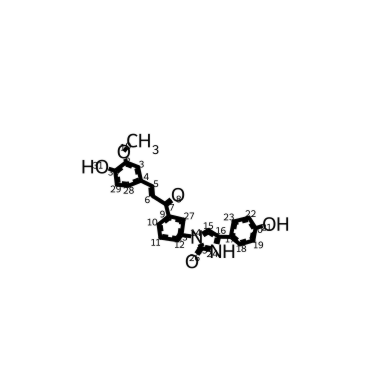 COc1cc(C=CC(=O)c2cccc(-n3cc(-c4ccc(O)cc4)[nH]c3=O)c2)ccc1O